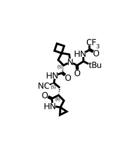 CC(C)(C)C(NC(=O)C(F)(F)F)C(=O)N1CC2(CCC2)C[C@H]1C(=O)N[C@H](C#N)C[C@@H]1CC2(CC2)NC1=O